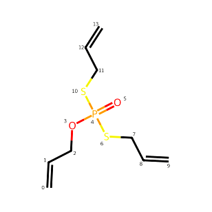 C=CCOP(=O)(SCC=C)SCC=C